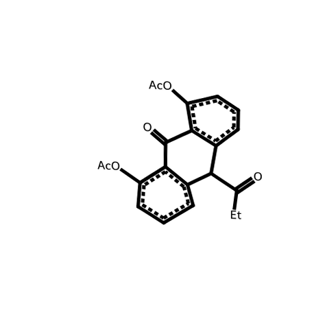 CCC(=O)C1c2cccc(OC(C)=O)c2C(=O)c2c(OC(C)=O)cccc21